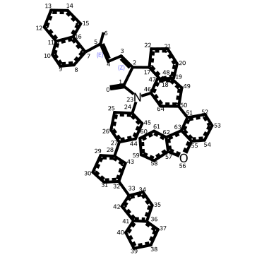 C=C(/C(=C\C=C(/C)c1cccc2ccccc12)c1ccccc1)N(c1ccc(-c2cccc(-c3ccc4ccccc4c3)c2)cc1)c1cccc(-c2cccc3oc4ccccc4c23)c1